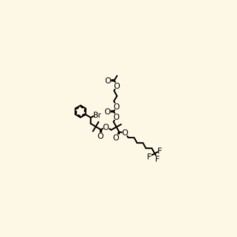 CC(=O)OCCCOC(=O)OCC(C)(COC(=O)C(C)(C)CC(Br)c1ccccc1)C(=O)OCCCCCCC(F)(F)F